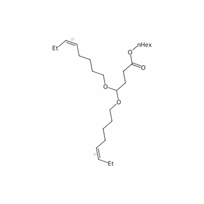 CC/C=C\CCCCOC(CCC(=O)OCCCCCC)OCCCC/C=C\CC